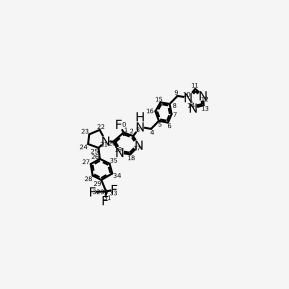 Fc1c(NCc2ccc(Cn3cncn3)cc2)ncnc1N1CCCC1c1ccc(C(F)(F)F)cc1